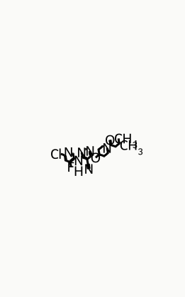 CC(C)CC(=O)N1CCC(Oc2ncnc(Nc3cnc(Cl)cc3F)c2C#N)CC1